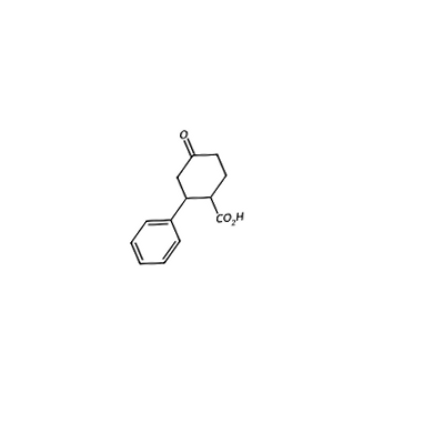 O=C1CCC(C(=O)O)C(c2ccccc2)C1